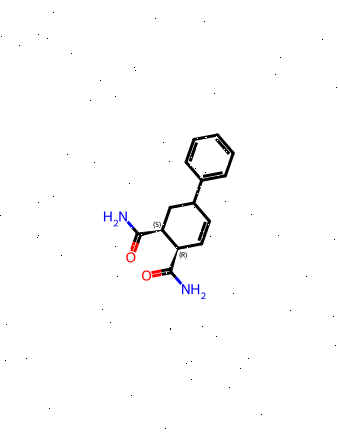 NC(=O)[C@H]1CC(c2ccccc2)C=C[C@H]1C(N)=O